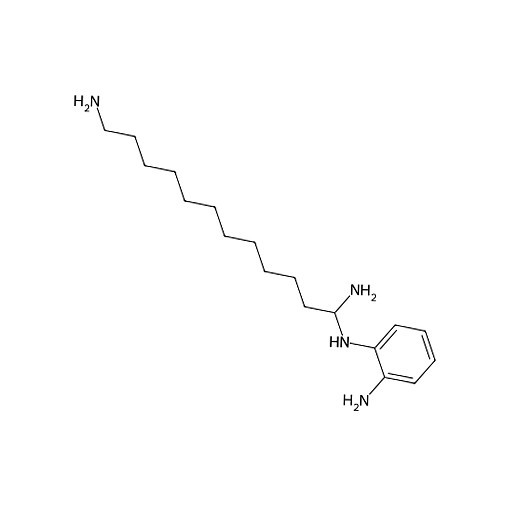 NCCCCCCCCCCCC(N)Nc1ccccc1N